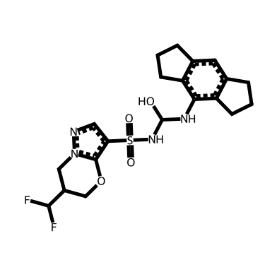 O=S(=O)(NC(O)Nc1c2c(cc3c1CCC3)CCC2)c1cnn2c1OCC(C(F)F)C2